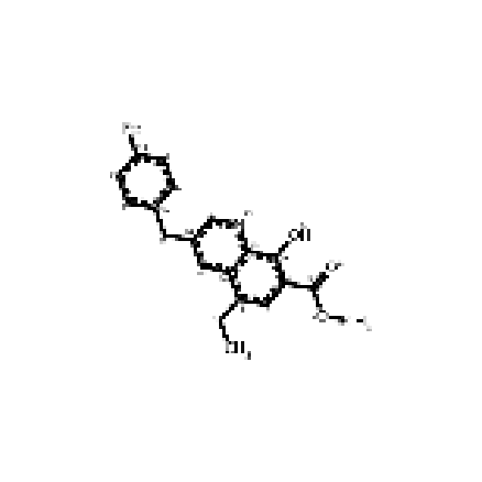 CCc1cc(C(=O)OC)c(O)c2ncc(Cc3ccc(F)cc3)cc12